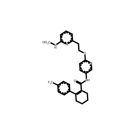 O=C(O)Nc1cccc(CCOc2ccc(NC(=O)C3=C(c4ccc(C(F)(F)F)cc4)CCCC3)cn2)n1